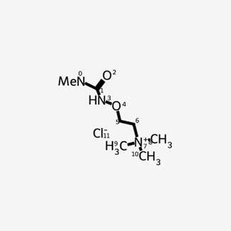 CNC(=O)NOCC[N+](C)(C)C.[Cl-]